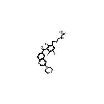 O=C(c1ccc2ncc(N3CCOCC3)cc2c1)c1c(F)c(F)cc(CCCN[SH](=O)=O)c1F